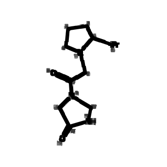 CC(C)C1CCCN1CC(=O)N1CNC(=O)C1